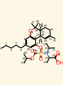 CCCCCc1cc2c(c(OP(=O)(C(=O)OC(C)C)N(C(C)C)C(C)C(=O)O)c1)[C@@H]1C=C(C)CC[C@H]1C(C)(C)O2